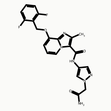 Cc1nc2c(OCc3c(F)cccc3F)cccn2c1C(=O)Nc1cnn(CC(N)=O)c1